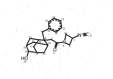 [C-]#[N+]C1CN(C(=O)CC2(Cc3ccccc3)C3CC4CC2CC(C3)C4O)C1